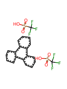 O=S(=O)(O)C(F)(F)F.O=S(=O)(O)C(F)(F)F.c1ccc2c(c1)c1ccccc1c1ccccc21